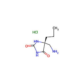 CCC[C@]1(CN)NC(=O)NC1=O.Cl